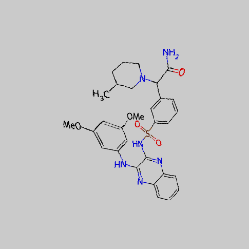 COc1cc(Nc2nc3ccccc3nc2NS(=O)(=O)c2cccc(C(C(N)=O)N3CCCC(C)C3)c2)cc(OC)c1